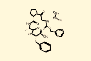 C[C@H](NC(=O)[C@@H]1CCCN1C(=O)CNC(=O)OCc1ccccc1)C(=O)N[C@@H](Cc1ccccc1)C(=O)O.OBO